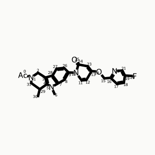 CC(=O)N1Cc2c(n(C)c3cc(-n4ccc(OCc5ccc(F)cn5)cc4=O)ccc23)C(C)C1